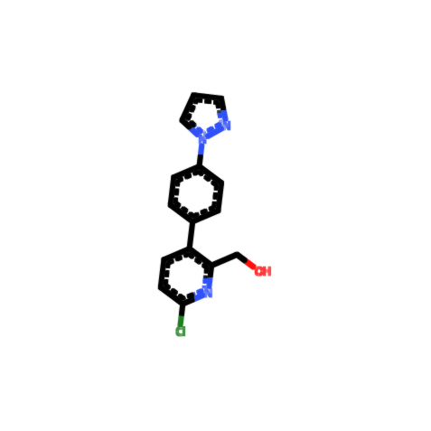 OCc1nc(Cl)ccc1-c1ccc(-n2cccn2)cc1